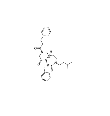 CC(C)CCN1CC[C@@H]2CN(C(=O)CCc3ccccc3)CC(=O)N2[C@@H](Cc2ccccc2)C1=O